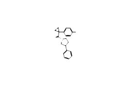 O=C(N1CCC(c2ccccc2)C1)C1(c2ccc(Cl)cc2)CC1